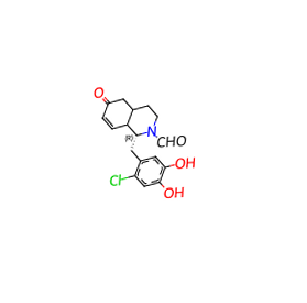 O=CN1CCC2CC(=O)C=CC2[C@H]1Cc1cc(O)c(O)cc1Cl